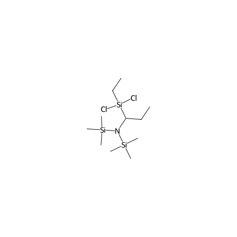 CCC(N([Si](C)(C)C)[Si](C)(C)C)[Si](Cl)(Cl)CC